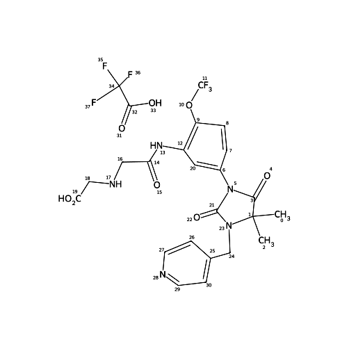 CC1(C)C(=O)N(c2ccc(OC(F)(F)F)c(NC(=O)CNCC(=O)O)c2)C(=O)N1Cc1ccncc1.O=C(O)C(F)(F)F